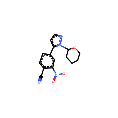 N#Cc1ccc(-c2ccnn2C2CCCCO2)cc1[N+](=O)[O-]